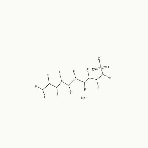 O=S(=O)([O-])C(F)C(F)C(F)C(F)C(F)C(F)C(F)C(F)C(F)C(F)F.[Na+]